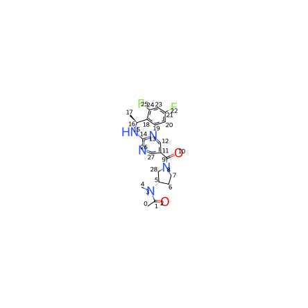 CC(=O)N(C)[C@H]1CCN(C(=O)c2cnc(N[C@@H](C)c3ccc(F)cc3F)nc2)C1